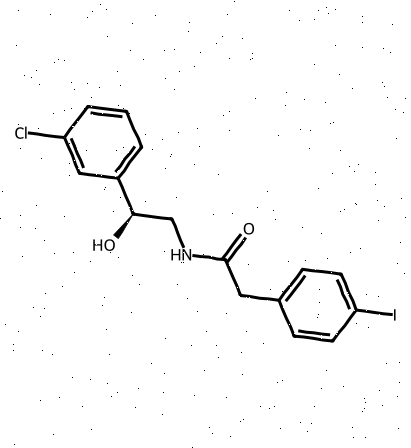 O=C(Cc1ccc(I)cc1)NC[C@@H](O)c1cccc(Cl)c1